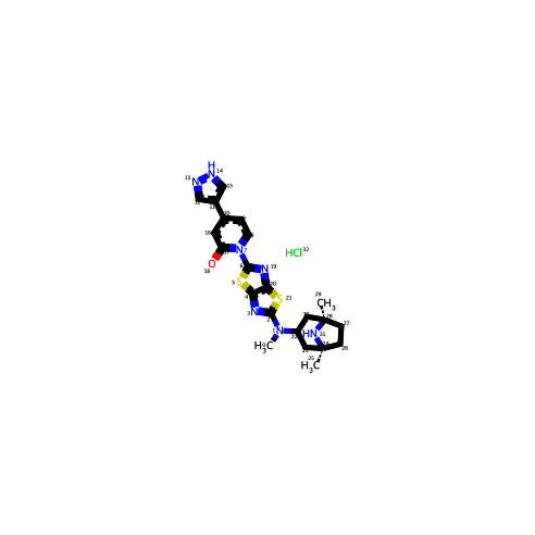 CN(c1nc2sc(-n3ccc(-c4cn[nH]c4)cc3=O)nc2s1)C1C[C@]2(C)CC[C@](C)(C1)N2.Cl